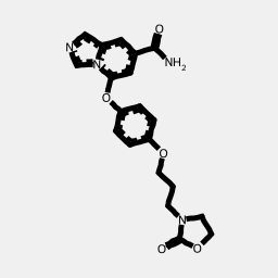 NC(=O)c1cc(Oc2ccc(OCCCN3CCOC3=O)cc2)n2cncc2c1